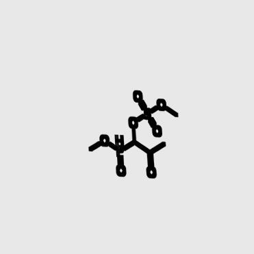 CO[PH](=O)C(OS(=O)(=O)OC)C(C)=O